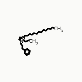 CCCCCCCCCCCCCCn1cc[n+](CCCc2ccccc2)c1CCC